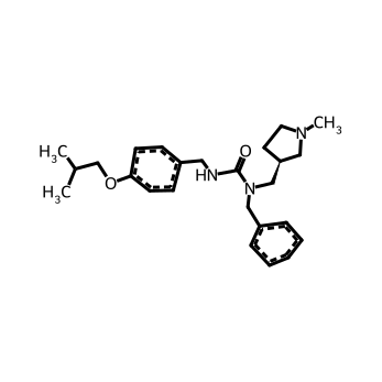 CC(C)COc1ccc(CNC(=O)N(Cc2ccccc2)C[C@H]2CCN(C)C2)cc1